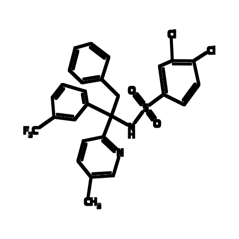 Cc1ccc(C(Cc2ccccc2)(NS(=O)(=O)c2ccc(Cl)c(Cl)c2)c2cccc(C(F)(F)F)c2)nc1